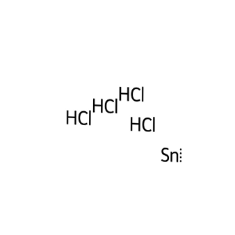 Cl.Cl.Cl.Cl.[Sn]